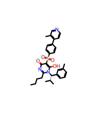 CCCCc1nc(=O)c(S(=O)(=O)c2ccc(-c3ccncc3C)cc2)c(O)n1[C@H](c1cccc(C)c1)C(C)C